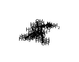 CCSSC[C@@H](C)NC(=O)[C@H](CCC(=O)NC[C@H](O)[C@@H](O)[C@H](O)[C@H](O)CO)NC(=O)[C@H](CCC(=O)O)NC(=O)[C@H](CCC(=O)NC[C@H](O)[C@@H](O)[C@H](O)[C@H](O)CO)NC(=O)[C@H](CCC(=O)O)NC(=O)[C@H](CCC(=O)NC[C@H](O)[C@@H](O)[C@H](O)[C@H](O)CO)NC(=O)CC[C@@H](C)NC(=O)c1ccc(NCc2cnc3nc(N)[nH]c(=O)c3n2)cc1